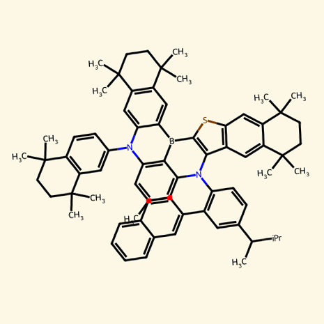 Cc1cc2c3c(c1)N(c1ccc(C(C)C(C)C)cc1-c1ccc4ccccc4c1)c1c(sc4cc5c(cc14)C(C)(C)CCC5(C)C)B3c1cc3c(cc1N2c1ccc2c(c1)C(C)(C)CCC2(C)C)C(C)(C)CCC3(C)C